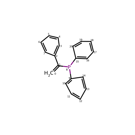 C=C(c1ccccc1)P(c1ccccc1)c1ccccc1